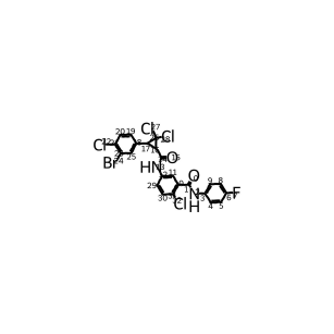 O=C(Nc1ccc(F)cc1)c1cc(NC(=O)C2C(c3ccc(Cl)c(Br)c3)C2(Cl)Cl)ccc1Cl